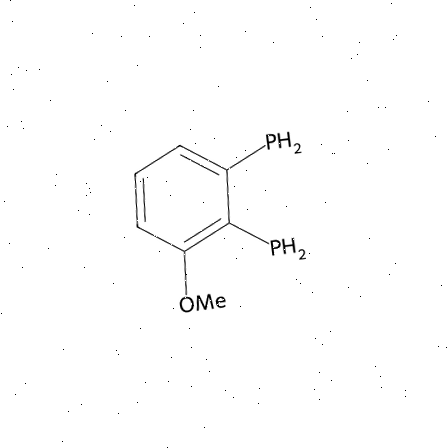 COc1cccc(P)c1P